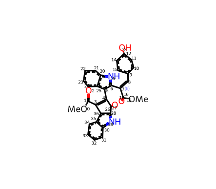 COC(=O)C1=C(c2c(/C(=C\c3ccc(O)cc3)C(=O)OC)[nH]c3ccccc23)C(=O)c2[nH]c3ccccc3c21